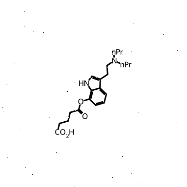 CCCN(CCC)CCc1c[nH]c2c(OC(=O)CCCC(=O)O)cccc12